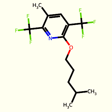 Cc1cc(C(F)(F)F)c(OCCCC(C)C)nc1C(F)(F)F